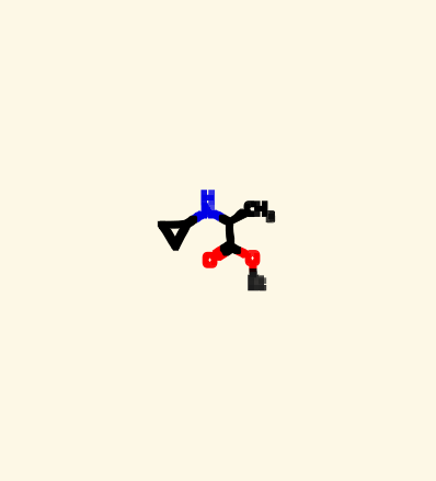 CCOC(=O)[C@H](C)NC1CC1